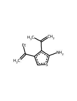 C=C(CC)c1csc(N)c1C(=C)C